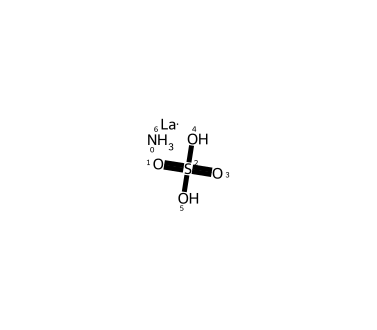 N.O=S(=O)(O)O.[La]